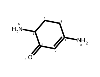 NC1=CC(=O)C(N)CC1